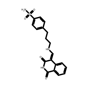 NS(=O)(=O)c1ccc(CCCNC=C2C(=O)NC(=O)c3ccccc32)cc1